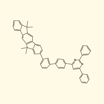 CC1(C)c2ccccc2-c2cc3c(cc21)-c1ccc(-c2cccc(-c4ccc(-c5cc(-c6ccccc6)nc(-c6ccccc6)n5)cc4)c2)cc1C3(C)C